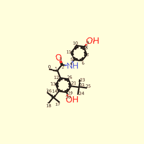 CC(C(=O)Nc1ccc(O)cc1)c1cc(C(C)(C)C)c(O)c(C(C)(C)C)c1